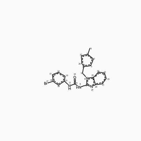 Cc1ccc(Cn2c(NC(=O)Nc3cccc(Br)c3)nc3ccccc32)cc1